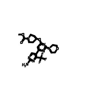 COC(=O)N1CCC(Oc2cc(-c3cnc(N)nc3C(F)(F)F)nc(N3CCOCC3)n2)CC1